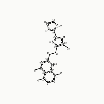 Cc1ccc(C)c2c(C)nc(CCc3nc(-c4cncs4)cn3C)nc12